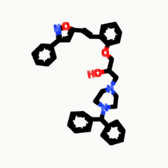 OC(COc1ccccc1/C=C/c1cc(-c2ccccc2)no1)CN1CCN(C(c2ccccc2)c2ccccc2)CC1